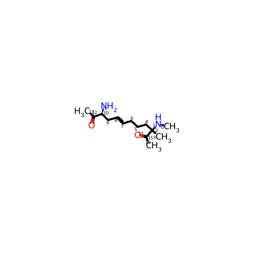 CNC(C)(CCC/C=C/C[C@H](N)C(C)=O)C(C)=O